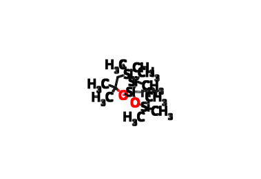 CCC[Si]1(O[Si](C)(C)C)OC(C)(C)C[Si](C)(C)[Si]1(C)C